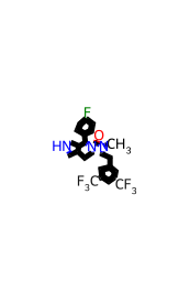 CN(CCc1cc(C(F)(F)F)cc(C(F)(F)F)c1)C(=O)N1CCC2CNCC2C1c1ccc(F)cc1